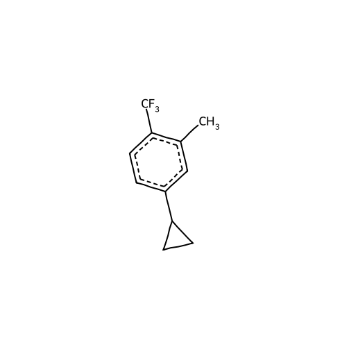 Cc1cc(C2CC2)ccc1C(F)(F)F